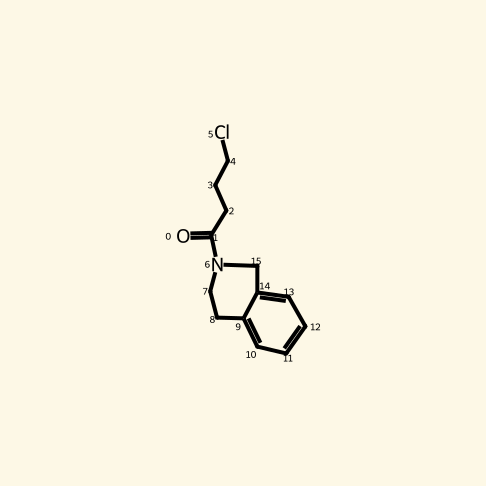 O=C(CCCCl)N1CCc2ccccc2C1